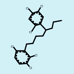 [CH2]CCC(CCCCc1c(Cl)ccc(Cl)c1Cl)c1cc(Cl)c(Cl)cc1Cl